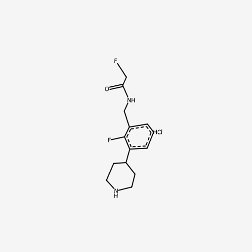 Cl.O=C(CF)NCc1cccc(C2CCNCC2)c1F